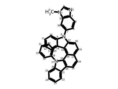 Cn1cnc2ccc(-n3c4ccccc4c4c5c(ccc6c7ccccc7n(-c7ccccc7)c65)ccc43)cc21